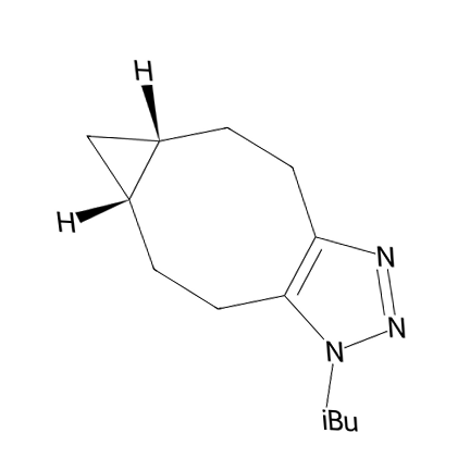 CCC(C)n1nnc2c1CC[C@@H]1C[C@@H]1CC2